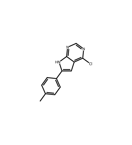 Cc1ccc(-c2cc3c(Cl)ncnc3[nH]2)cc1